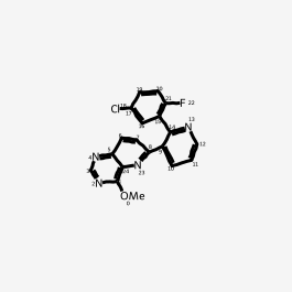 COc1ncnc2ccc(-c3cccnc3-c3cc(Cl)ccc3F)nc12